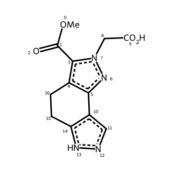 COC(=O)c1c2c(nn1CC(=O)O)-c1cn[nH]c1CC2